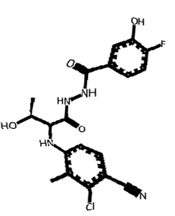 Cc1c(NC(C(=O)NNC(=O)c2ccc(F)c(O)c2)[C@H](C)O)ccc(C#N)c1Cl